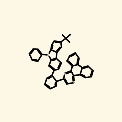 CC(C)(C)c1ccc2c(c1)c1ccc(-c3ccccc3-c3cnc4c5ccccc5c5ccccc5c4n3)cc1n2-c1ccccc1